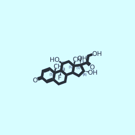 C[C@]12C=CC(=O)C=C1CCC1C3C[C@@H](O)[C@](O)(C(=O)CO)[C@@]3(C)C[C@H](O)[C@@]12F